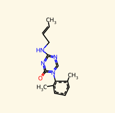 CC=CCNc1ncn(-c2c(C)cccc2C)c(=O)n1